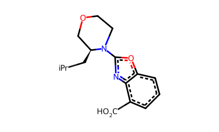 CC(C)C[C@H]1COCCN1c1nc2c(C(=O)O)cccc2o1